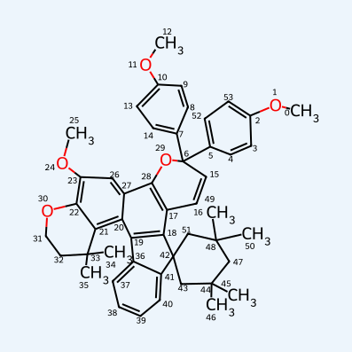 COc1ccc(C2(c3ccc(OC)cc3)C=Cc3c4c(c5c6c(c(OC)cc5c3O2)OCCC6(C)C)-c2ccccc2C42CC(C)(C)CC(C)(C)C2)cc1